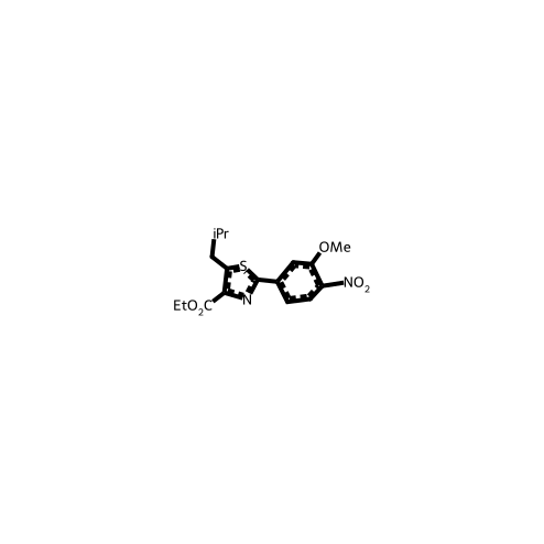 CCOC(=O)c1nc(-c2ccc([N+](=O)[O-])c(OC)c2)sc1CC(C)C